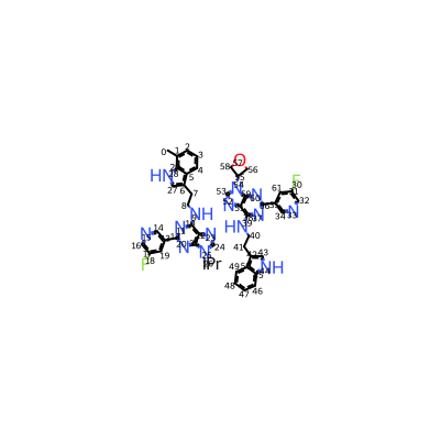 Cc1cccc2c(CCNc3nc(-c4cncc(F)c4)nc4c3ncn4C(C)C)c[nH]c12.Fc1cncc(-c2nc(NCCc3c[nH]c4ccccc34)c3ncn(C4COC4)c3n2)c1